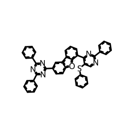 c1ccc(Sc2cnc(-c3ccccc3)nc2-c2cccc3c2oc2ccc(-c4nc(-c5ccccc5)nc(-c5ccccc5)n4)cc23)cc1